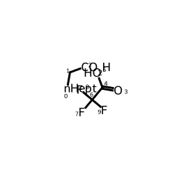 CCCCCCCCC(=O)O.O=C(O)C(F)(F)F